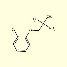 CC(C)(COc1ccccc1Cl)[N+](=O)[O-]